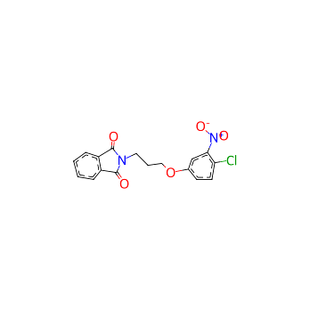 O=C1c2ccccc2C(=O)N1CCCOc1ccc(Cl)c([N+](=O)[O-])c1